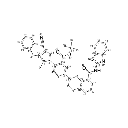 Cc1c(-c2ccc(N3CCc4cccc(C(=O)Nc5nc6ccccc6s5)c4C3)nc2C(=O)OC(C)(C)C)cc(C#N)n1Cc1ccccc1